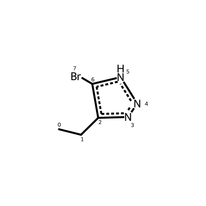 CCc1nn[nH]c1Br